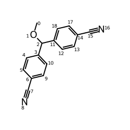 COC(c1ccc(C#N)cc1)c1ccc(C#N)cc1